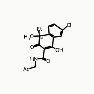 CC[C@]1(C)C(=O)C(C(=O)NCC(C)=O)=C(O)c2cc(Cl)ccc21